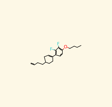 C=CCCC1CC=C(c2ccc(OCCCC)c(F)c2F)CC1